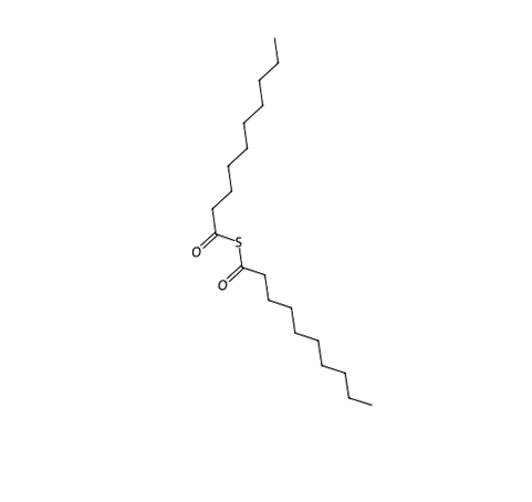 CCCCCCCCCC(=O)SC(=O)CCCCCCCCC